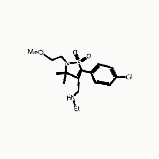 CCNCC1=C(c2ccc(Cl)cc2)S(=O)(=O)N(CCOC)C1(C)C